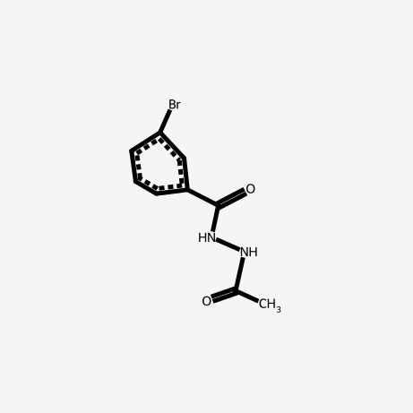 CC(=O)NNC(=O)c1cccc(Br)c1